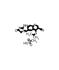 CC(C)Sc1c(C#N)cnc2ccc(/C=S3/CC(=O)N=C3N)cc12.CS(=O)(=O)O